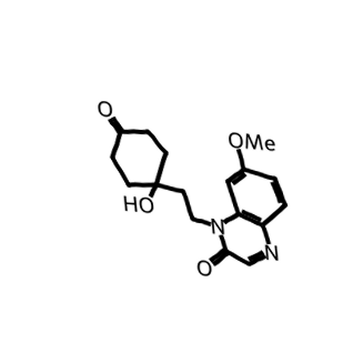 COc1ccc2ncc(=O)n(CCC3(O)CCC(=O)CC3)c2c1